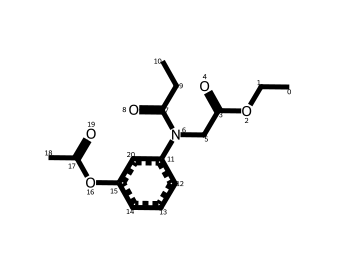 CCOC(=O)CN(C(=O)CC)c1cccc(OC(C)=O)c1